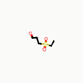 CCS(=O)(=O)C[CH]C=O